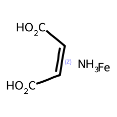 N.O=C(O)/C=C\C(=O)O.[Fe]